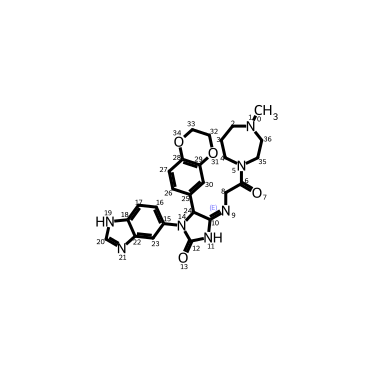 CN1CCCN(C(=O)C/N=C2/NC(=O)N(c3ccc4[nH]cnc4c3)C2c2ccc3c(c2)OCCO3)CC1